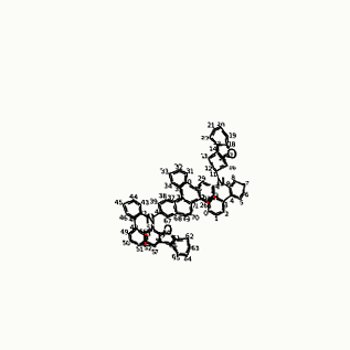 c1ccc(-c2ccccc2N(c2ccc3c(c2)oc2ccccc23)c2ccc3c(c2)c2ccccc2c2c4ccc(N(c5ccccc5-c5ccccc5)c5cccc6c5oc5ccccc56)cc4ccc32)cc1